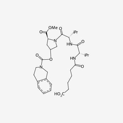 COC(=O)[C@@H]1CC(OC(=O)N2CCc3ccccc3C2)CN1C(=O)[C@@H](NC(=O)[C@@H](NC(=O)CCCCC(=O)O)C(C)C)C(C)C